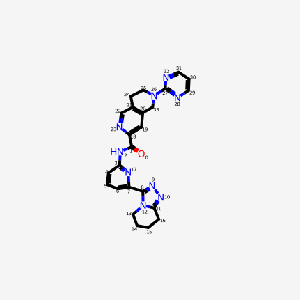 O=C(Nc1cccc(-c2nnc3n2CCCC3)n1)c1cc2c(cn1)CCN(c1ncccn1)C2